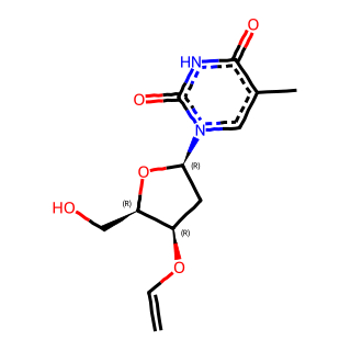 C=CO[C@@H]1C[C@H](n2cc(C)c(=O)[nH]c2=O)O[C@@H]1CO